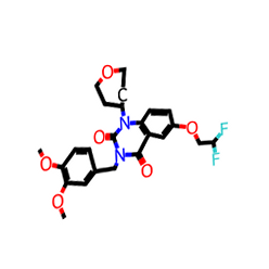 COc1ccc(Cn2c(=O)c3cc(OCC(F)F)ccc3n(C3CCOCC3)c2=O)cc1OC